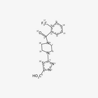 O=C(O)c1nnc(N2CCN(C(=O)c3ccccc3C(F)(F)F)CC2)s1